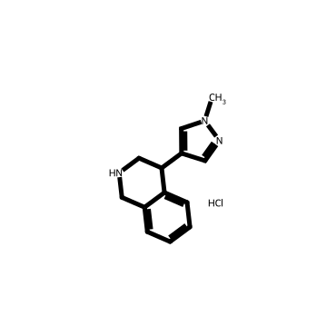 Cl.Cn1cc(C2CNCc3ccccc32)cn1